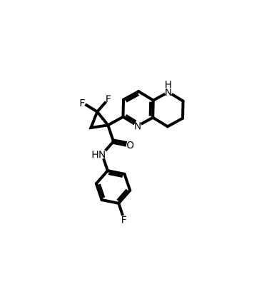 O=C(Nc1ccc(F)cc1)C1(c2ccc3c(n2)CCCN3)CC1(F)F